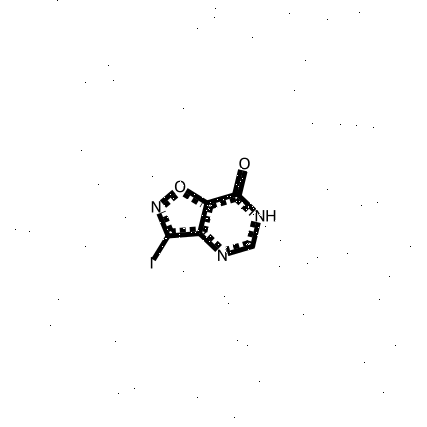 O=c1[nH]cnc2c(I)noc12